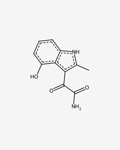 Cc1[nH]c2cccc(O)c2c1C(=O)C(N)=O